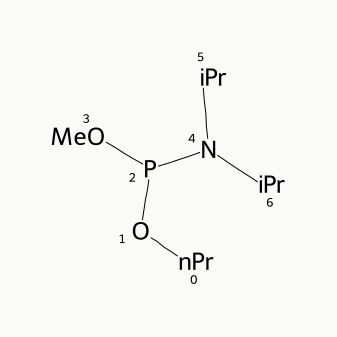 CCCOP(OC)N(C(C)C)C(C)C